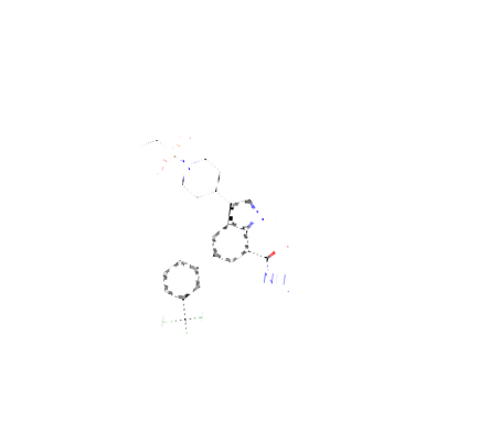 CCS(=O)(=O)N1CCC(c2c[nH]c3c(C(N)=O)cc(-c4cccc(C(F)(F)F)c4)cc23)CC1